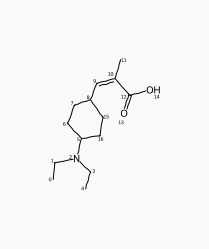 CCN(CC)C1CCC(C=C(C)C(=O)O)CC1